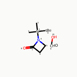 CC(C)(C)[Si](C)(C)N1CCC1=O.O=CO